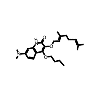 CCCCOc1c(OC/C=C(\C)CCC=C(C)C)c(=O)[nH]c2cc(N(C)C)ccc12